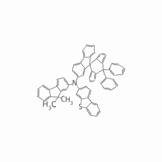 CC1(C)c2ccccc2-c2ccc(N(c3ccc4c(c3)C3(c5ccccc5-4)c4ccccc4C(c4ccccc4)(c4ccccc4)c4ccccc43)c3ccc4c(c3)sc3ccccc34)cc21